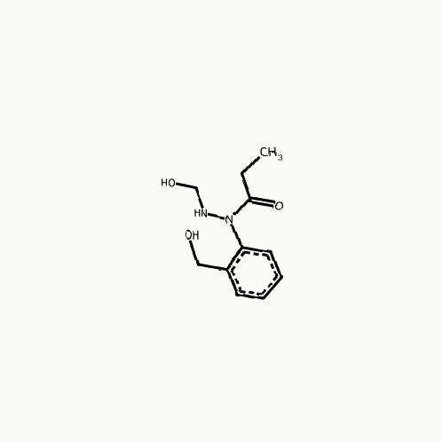 CCC(=O)N(NCO)c1ccccc1CO